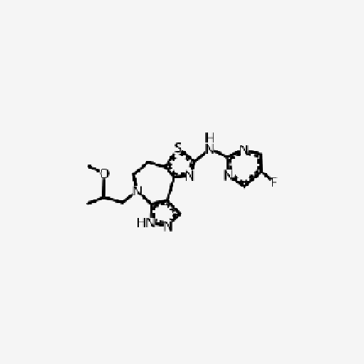 COC(C)CN1CCc2sc(Nc3ncc(F)cn3)nc2-c2cn[nH]c21